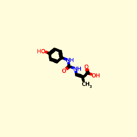 CC(=CNC(=O)Nc1ccc(O)cc1)C(=O)O